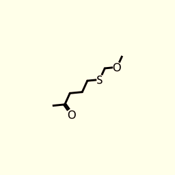 COCSCCCC(C)=O